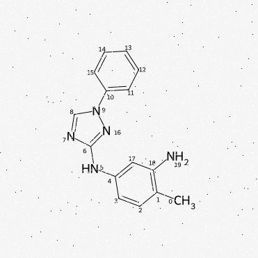 Cc1ccc(Nc2ncn(-c3ccccc3)n2)cc1N